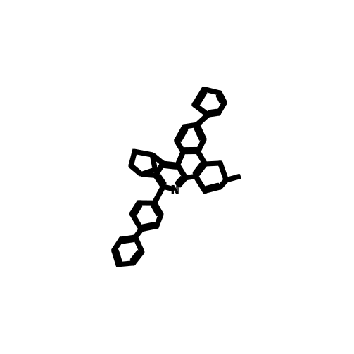 CC1C=Cc2c(c3cc(-c4ccccc4)ccc3c3c4c(c(-c5ccc(-c6ccccc6)cc5)nc23)C2CCC4C2)C1